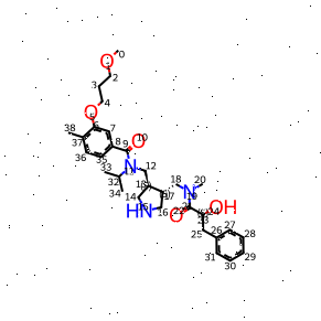 COCCCOc1cc(C(=O)N(C[C@@H]2CNC[C@H]2CN(C)C(=O)[C@@H](O)Cc2ccccc2)C(C)C)ccc1C